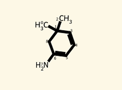 CC1(C)C=CC=C(N)C1